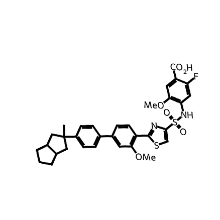 COc1cc(C(=O)O)c(F)cc1NS(=O)(=O)c1csc(-c2ccc(-c3ccc(C4(C)CC5CCCC5C4)cc3)cc2OC)n1